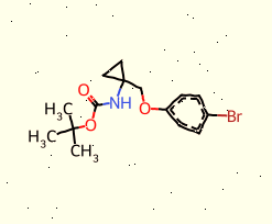 CC(C)(C)OC(=O)NC1(COc2ccc(Br)cc2)CC1